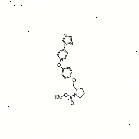 CC(C)(C)OC(=O)N1CCCC1COc1ccc(Oc2ccc(-n3cncn3)cc2)cc1